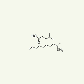 CC(C)CCC(=O)O.CCCCCCCC[C@H](C)N